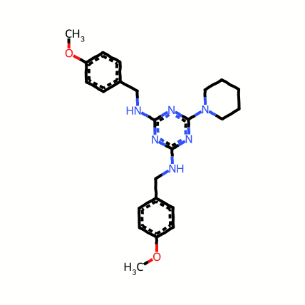 COc1ccc(CNc2nc(NCc3ccc(OC)cc3)nc(N3CCCCC3)n2)cc1